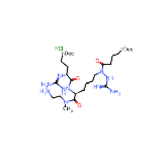 CCCCCCCCCCCCCC(=O)N(CCCC[C@@H](C(=O)N(C)CCN)N(NC(=N)N)C(=O)CCCCCCCCCCCCC)NC(=N)N.Cl